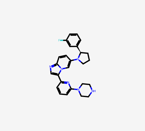 Fc1cccc([C@H]2CCCN2c2ccc3ncc(-c4cccc(N5CCNCC5)n4)n3c2)c1